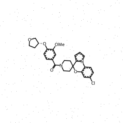 COc1cc(C(=O)N2CCC3(CC2)Oc2cc(Cl)ccc2-n2cccc23)ccc1O[C@@H]1CCOC1